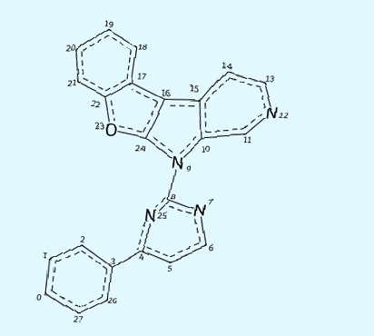 c1ccc(-c2ccnc(-n3c4cnccc4c4c5ccccc5oc43)n2)cc1